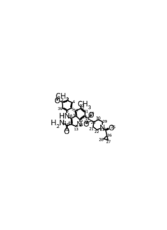 COc1cccc(Nc2c(C(N)=O)cnc3c(S(=O)(=O)C4CCN(C(=O)C5CC5)CC4)cc(C)cc23)c1